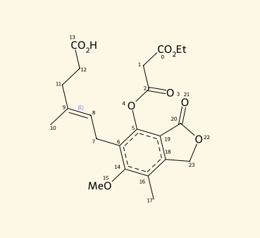 CCOC(=O)CC(=O)Oc1c(C/C=C(\C)CCC(=O)O)c(OC)c(C)c2c1C(=O)OC2